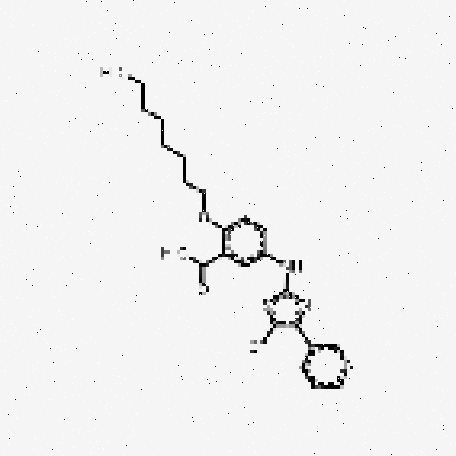 CCCCCCCCOc1ccc(Nc2nc(-c3cccnc3)c(Cl)s2)cc1C(C)=O